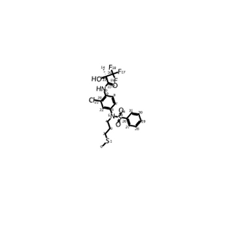 CSCCCN(c1ccc(NC(=O)[C@@](C)(O)C(F)(F)F)c(Cl)c1)S(=O)(=O)c1ccccc1